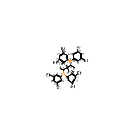 CCCC(CCC)(C(C)P(c1cc(CC)cc(CC)c1)c1cc(CC)cc(CC)c1)C(C)P(c1cc(CC)cc(CC)c1)c1cc(CC)cc(CC)c1